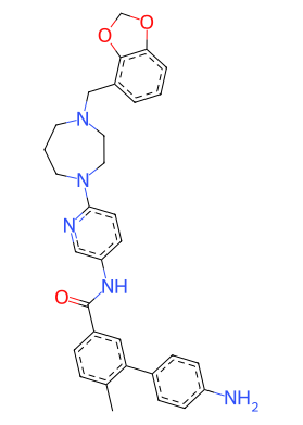 Cc1ccc(C(=O)Nc2ccc(N3CCCN(Cc4cccc5c4OCO5)CC3)nc2)cc1-c1ccc(N)cc1